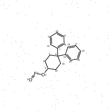 O=POC1CCC(c2ccccc2)(c2ccccc2)CC1